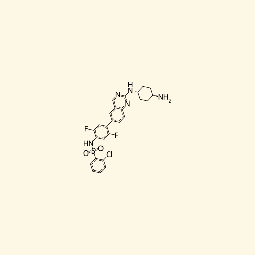 N[C@H]1CC[C@H](Nc2ncc3cc(-c4cc(F)c(NS(=O)(=O)c5ccccc5Cl)cc4F)ccc3n2)CC1